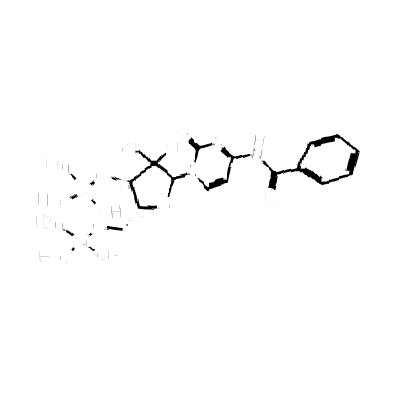 CC(C)(C)[Si](C)(C)OC[C@H]1OC(n2ccc(NC(=O)c3ccccc3)nc2=O)C(Cl)(Cl)[C@@H]1O[Si](C)(C)C(C)(C)C